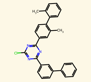 Cc1ccccc1-c1ccc(-c2nc(Cl)nc(-c3cccc(-c4ccccc4)c3)n2)cc1C